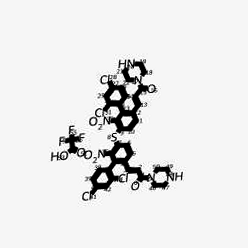 O=C(/C=C/c1ccc(Sc2ccc(/C=C/C(=O)N3CCNCC3)c(-c3ccc(Cl)cc3Cl)c2[N+](=O)[O-])c([N+](=O)[O-])c1-c1ccc(Cl)cc1Cl)N1CCNCC1.O=C(O)C(F)(F)F